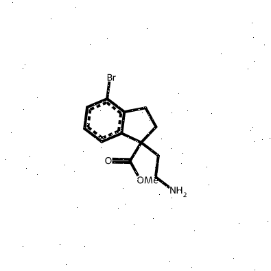 COC(=O)C1(CCN)CCc2c(Br)cccc21